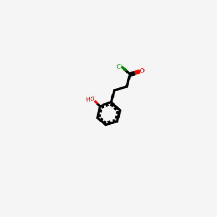 O=C(Cl)CCc1ccccc1O